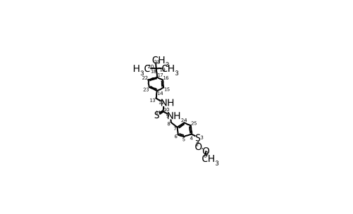 COOSc1ccc(CNC(=S)NCc2ccc(C(C)(C)C)cc2)cc1